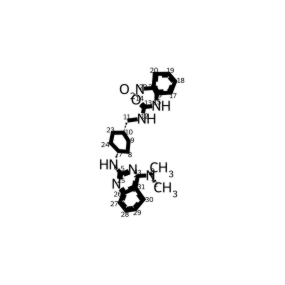 CN(C)c1nc(N[C@H]2CC[C@@H](CNC(=O)Nc3ccccc3[N+](=O)[O-])CC2)nc2ccccc12